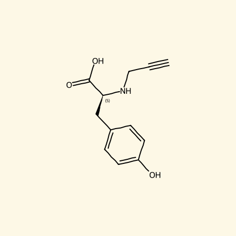 C#CCN[C@@H](Cc1ccc(O)cc1)C(=O)O